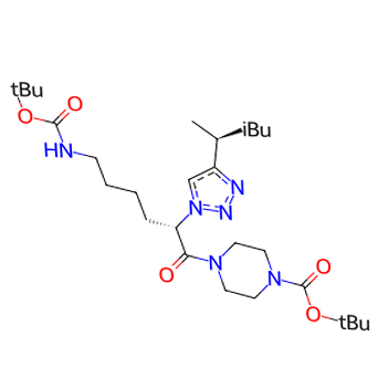 CCC(C)[C@H](C)c1cn([C@@H](CCCCNC(=O)OC(C)(C)C)C(=O)N2CCN(C(=O)OC(C)(C)C)CC2)nn1